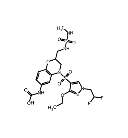 CCOc1nn(CC(F)F)cc1S(=O)(=O)N1CC(CNS(=O)(=O)NC)Oc2ccc(NC(=O)O)cc21